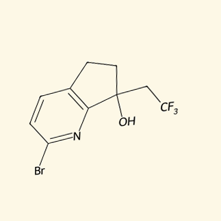 OC1(CC(F)(F)F)CCc2ccc(Br)nc21